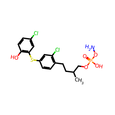 CC(CCc1ccc(Sc2cc(Cl)ccc2O)cc1Cl)COP(=O)(O)ON